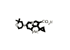 CC1(C)C[C@@H](c2cc(F)c3c(C4(C#N)CC4)c(C(=O)O)cn3c2)CCO1